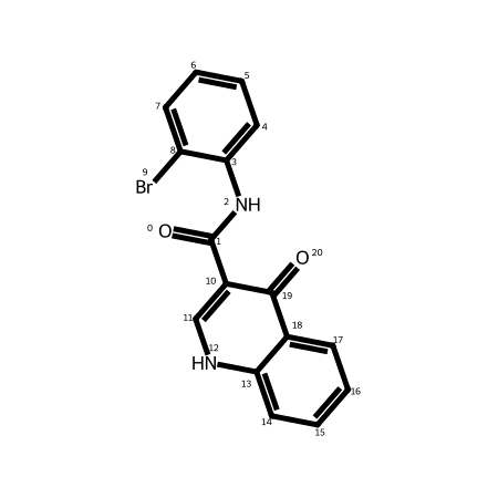 O=C(Nc1ccccc1Br)c1c[nH]c2ccccc2c1=O